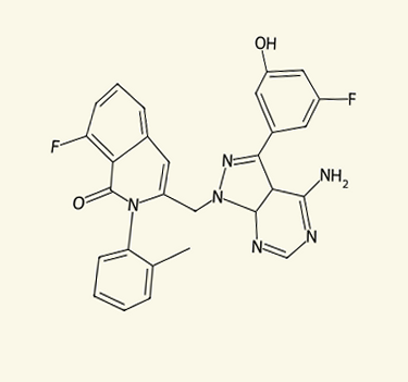 Cc1ccccc1-n1c(CN2N=C(c3cc(O)cc(F)c3)C3C(N)=NC=NC32)cc2cccc(F)c2c1=O